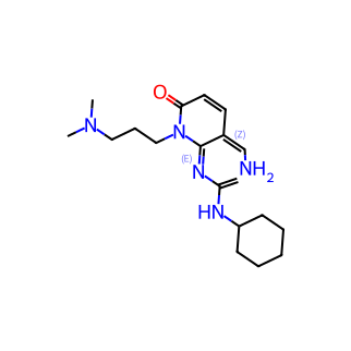 C=C(/N=C1\C(=C/N)C=CC(=O)N1CCCN(C)C)NC1CCCCC1